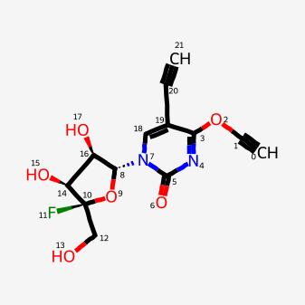 C#COc1nc(=O)n([C@@H]2O[C@](F)(CO)[C@@H](O)[C@H]2O)cc1C#C